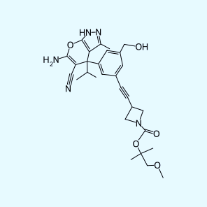 COCC(C)(C)OC(=O)N1CC(C#Cc2cc(CO)cc(C3(C(C)C)C(C#N)=C(N)Oc4[nH]nc(C)c43)c2)C1